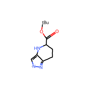 CC(C)(C)OC(=O)C1CCC2=N[N]C=C2N1